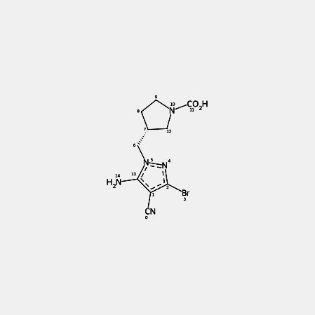 N#Cc1c(Br)nn(C[C@@H]2CCN(C(=O)O)C2)c1N